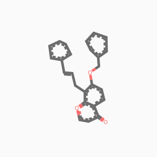 O=c1ccoc2c(C/C=C/c3ccccc3)c(OCc3ccccc3)ccc12